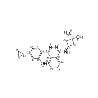 C[C@]1(O)C[C@@H](Nc2nnc(-c3ccc(C4CC4)cc3O)c3ccccc23)C1